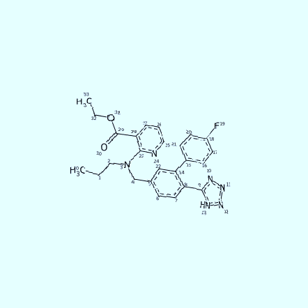 CCCN(Cc1ccc(-c2nnn[nH]2)c(-c2ccc(F)cc2)c1)c1ncccc1C(=O)OCC